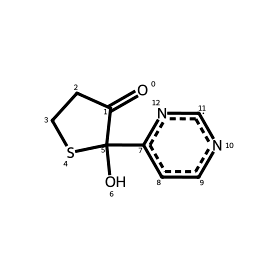 O=C1CCSC1(O)c1ccn[c]n1